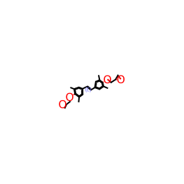 Cc1cc(/C=C/c2cc(C)c(OCC3CO3)c(C)c2)cc(C)c1OCC1CO1